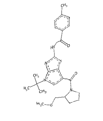 COCC1CCCN1C(=O)c1cn(C(C)(C)C)c2nc(NC(=O)c3ccc(C)cc3)sc12